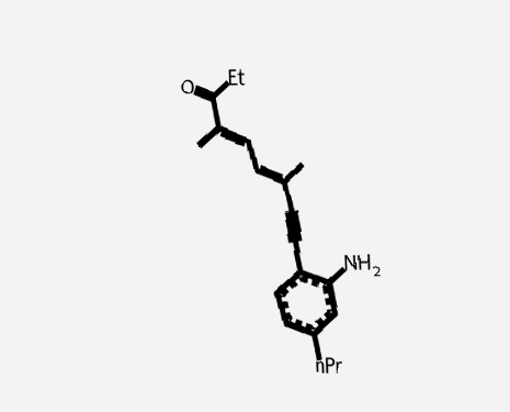 CCCc1ccc(C#C/C(C)=C/C=C(\C)C(=O)CC)c(N)c1